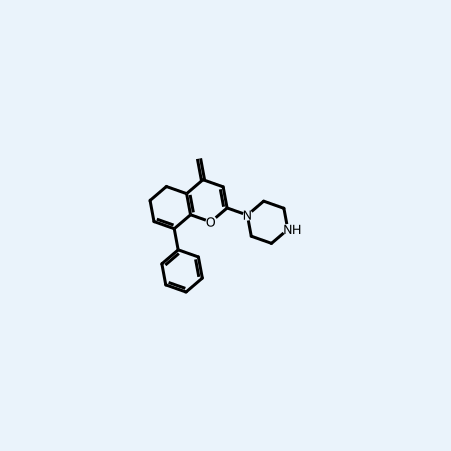 C=C1C=C(N2CCNCC2)OC2=C1CCC=C2c1ccccc1